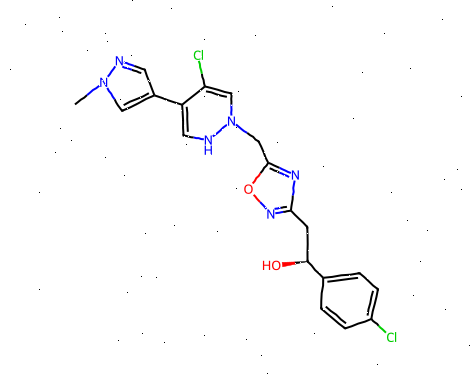 Cn1cc(C2=CNN(Cc3nc(C[C@H](O)c4ccc(Cl)cc4)no3)C=C2Cl)cn1